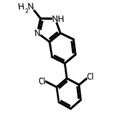 Nc1nc2cc(-c3c(Cl)cccc3Cl)ccc2[nH]1